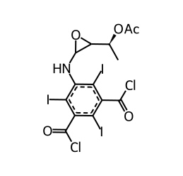 CC(=O)O[C@@H](C)C1OC1Nc1c(I)c(C(=O)Cl)c(I)c(C(=O)Cl)c1I